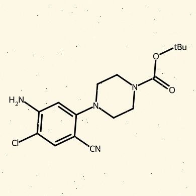 CC(C)(C)OC(=O)N1CCN(c2cc(N)c(Cl)cc2C#N)CC1